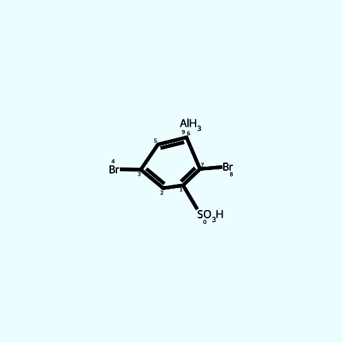 O=S(=O)(O)c1cc(Br)ccc1Br.[AlH3]